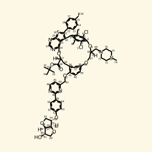 Cc1c(Cl)c2c(Cl)c(C)c1-c1c(-c3ccc(F)cc3)sc3ncnc(c13)O[C@@H](C(=O)OC(C)(C)C)Cc1cc(ccc1OCc1ccnc(-c3ccc(O[C@H]4CO[C@H]5[C@@H]4OC[C@H]5O)cc3)n1)OC[C@@H](CN1CCN(C)CC1)O2